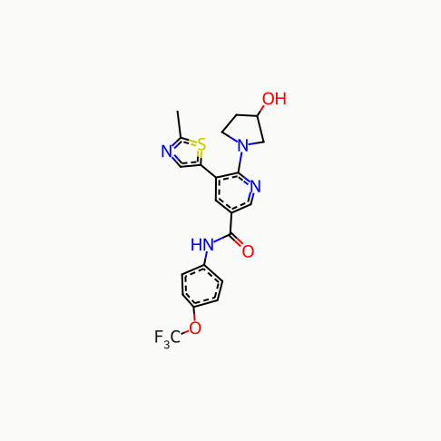 Cc1ncc(-c2cc(C(=O)Nc3ccc(OC(F)(F)F)cc3)cnc2N2CCC(O)C2)s1